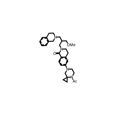 COCC(CN1CCc2ccccc2C1)CN1CCc2cc(N3CCN(C(C)=O)C4(CC4)C3)ccc2C1=O